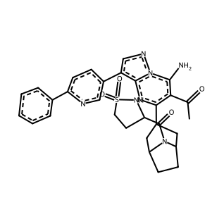 CC(=O)c1c(C2CC3CCC(C2)N3C(=O)C2CCS(=O)(=O)N2)nc2c(-c3ccc(-c4ccccc4)nc3)cnn2c1N